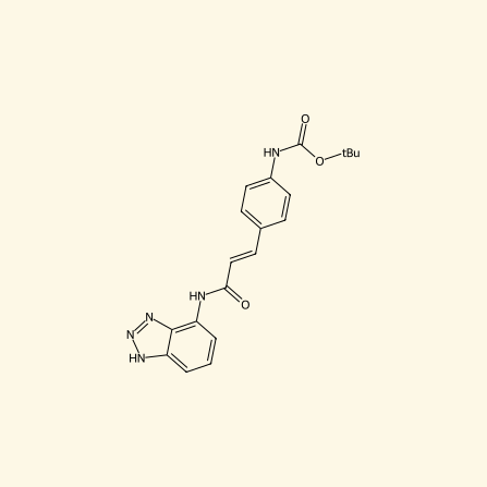 CC(C)(C)OC(=O)Nc1ccc(C=CC(=O)Nc2cccc3[nH]nnc23)cc1